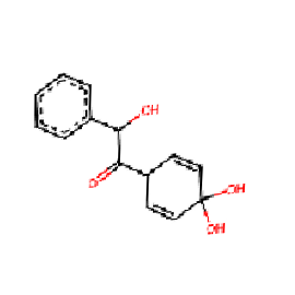 O=C(C1C=CC(O)(O)C=C1)C(O)c1ccccc1